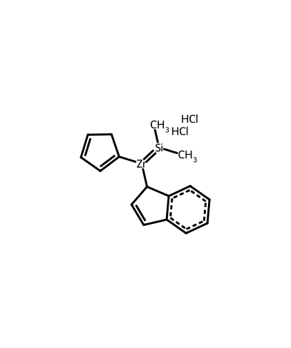 C[Si](C)=[Zr]([C]1=CC=CC1)[CH]1C=Cc2ccccc21.Cl.Cl